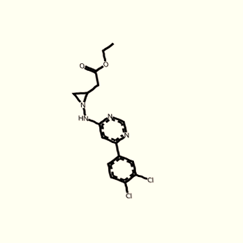 CCOC(=O)CC1CN1Nc1cc(-c2ccc(Cl)c(Cl)c2)ncn1